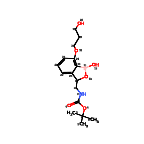 CC(C)(C)OC(=O)NCC1OB(O)c2c(OCCCO)cccc21